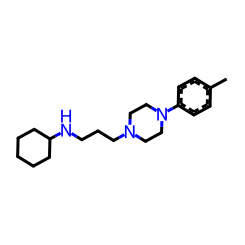 Cc1ccc(N2CCN(CCCNC3CCCCC3)CC2)cc1